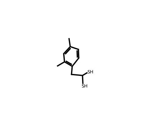 Cc1ccc(CC(S)S)c(C)c1